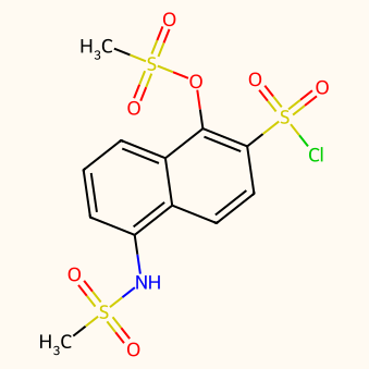 CS(=O)(=O)Nc1cccc2c(OS(C)(=O)=O)c(S(=O)(=O)Cl)ccc12